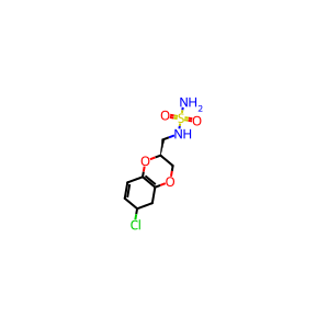 NS(=O)(=O)NC[C@H]1COC2=C(C=CC(Cl)C2)O1